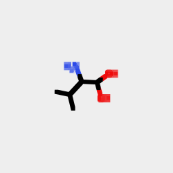 CC(C)C(N)C(O)O